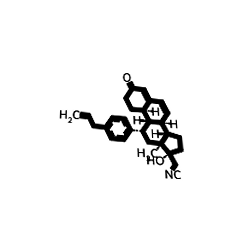 C=CCc1ccc([C@H]2C[C@@]3(C)[C@@H](CC[C@@]3(O)CC#N)[C@@H]3C=CC4=CC(=O)CC[C@@H]4[C@H]32)cc1